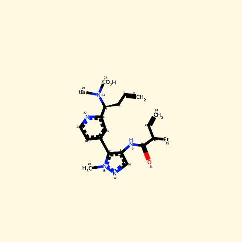 C=CC[C@@H](c1cc(-c2c(NC(=O)C(C=C)CC)cnn2C)ccn1)N(C(=O)O)C(C)(C)C